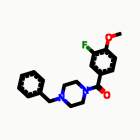 COc1ccc(C(=O)N2CCN(Cc3ccccc3)CC2)cc1F